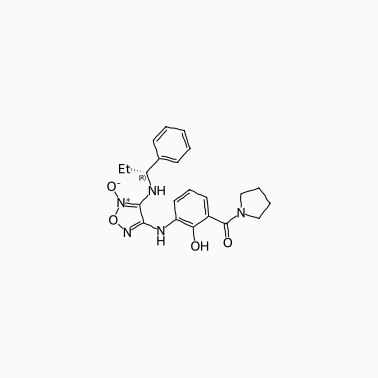 CC[C@@H](Nc1c(Nc2cccc(C(=O)N3CCCC3)c2O)no[n+]1[O-])c1ccccc1